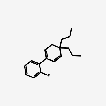 CCCC1(CCC)C=CC(c2ccccc2F)=CC1